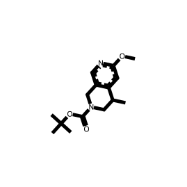 COc1cc2c(cn1)CN(C(=O)OC(C)(C)C)CC2C